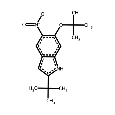 CC(C)(C)Oc1cc2[nH]c(C(C)(C)C)cc2cc1[N+](=O)[O-]